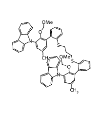 COCOc1c(-c2ccccc2SCCCSc2ccccc2-c2cc(C)cc(-n3c4ccccc4c4ccccc43)c2OCOC)cc(C)cc1-n1c2ccccc2c2ccccc21